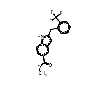 COC(=O)c1ccc2[nH]c(Cc3ccccc3C(F)(F)F)cc2c1